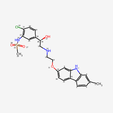 Cc1ccc2c(c1)[nH]c1cc(OCCNC[C@H](O)c3ccc(Cl)c(NS(C)(=O)=O)c3)ccc12